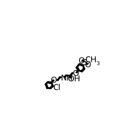 CS(=O)(=O)c1ccc(OCC(O)CNCCOc2ccccc2Cl)cc1